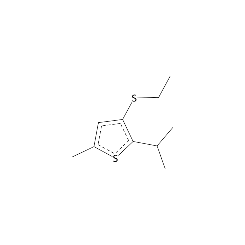 CCSc1cc(C)sc1C(C)C